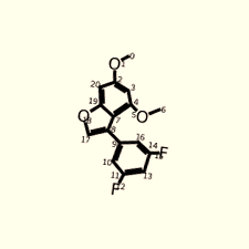 COc1cc(OC)c2c(-c3cc(F)cc(F)c3)coc2c1